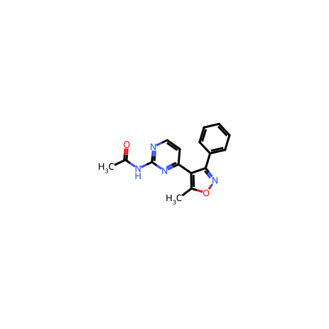 CC(=O)Nc1nccc(-c2c(-c3ccccc3)noc2C)n1